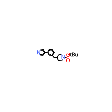 CC(C)(C)OC(=O)N1CCC(Cc2cccc(-c3ccncc3)c2)CC1